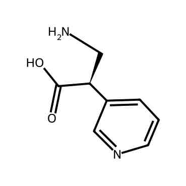 NC[C@H](C(=O)O)c1cccnc1